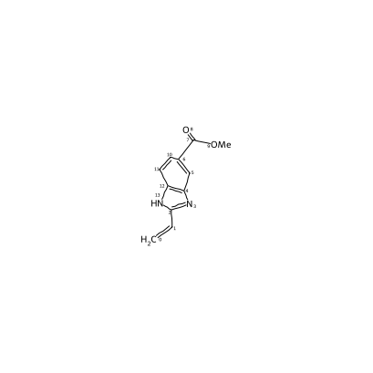 C=Cc1nc2cc(C(=O)OC)ccc2[nH]1